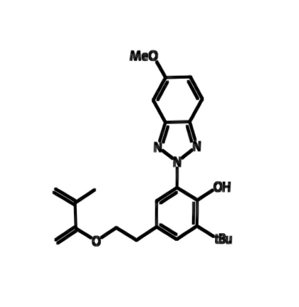 C=C(C)C(=C)OCCc1cc(-n2nc3ccc(OC)cc3n2)c(O)c(C(C)(C)C)c1